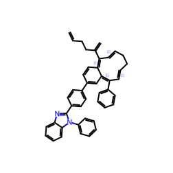 C=CCCC(=C)C1=c2\ccc(-c3ccc(-c4nc5ccccc5n4-c4ccccc4)cc3)c\c2=C(c2ccccc2)\C=C\CC\C=C\1